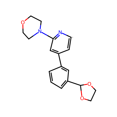 [c]1cc(-c2cccc(C3OCCO3)c2)cc(N2CCOCC2)n1